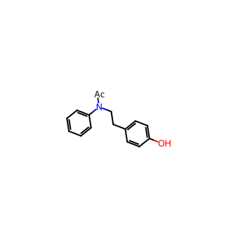 CC(=O)N(CCc1ccc(O)cc1)c1ccccc1